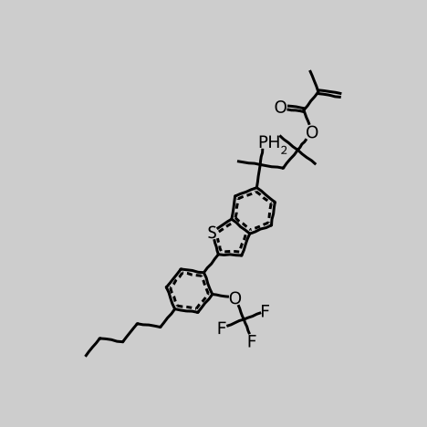 C=C(C)C(=O)OC(C)(C)CC(C)(P)c1ccc2cc(-c3ccc(CCCCC)cc3OC(F)(F)F)sc2c1